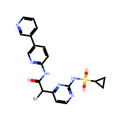 CCC(C(=O)Nc1ccc(-c2cccnc2)cn1)c1ccnc(NS(=O)(=O)C2CC2)n1